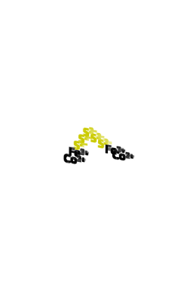 [Co+2].[Co+2].[Fe+3].[Fe+3].[S-2].[S-2].[S-2].[S-2].[S-2]